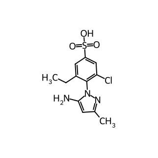 CCc1cc(S(=O)(=O)O)cc(Cl)c1-n1nc(C)cc1N